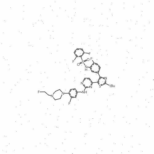 CC(C)(C)c1nc(-c2ccc(F)c(NS(=O)(=O)c3c(F)cccc3F)c2)c(-c2ccnc(Nc3ccc(N4CCN(CCF)CC4)c(F)c3)n2)s1